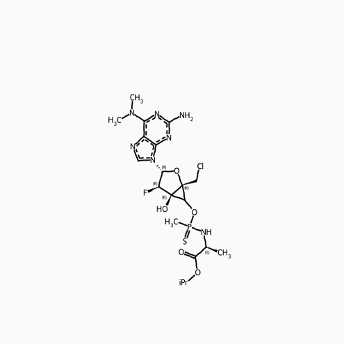 CC(C)OC(=O)[C@H](C)NP(C)(=S)OC1[C@@]2(CCl)O[C@@H](n3cnc4c(N(C)C)nc(N)nc43)[C@H](F)[C@@]12O